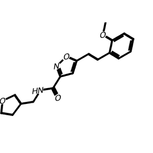 COc1ccccc1CCc1cc(C(=O)NCC2CCOC2)no1